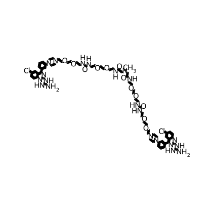 CN(CC(=O)NCCOCCOCCNC(=O)NCCOCCOCCN1CCN(c2cccc(-c3nc(NC(=N)N)nc4ccc(Cl)cc34)c2)CC1)CC(=O)NCCOCCOCCNC(=O)NCCOCCOCCN1CCN(c2cccc(-c3nc(NC(=N)N)nc4ccc(Cl)cc34)c2)CC1